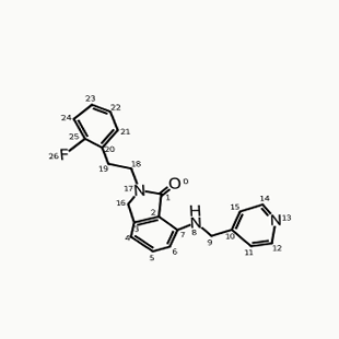 O=C1c2c(cccc2NCc2ccncc2)CN1CCc1ccccc1F